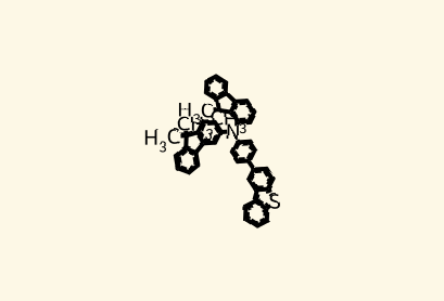 CC1(C)c2ccccc2-c2cc(N(c3ccc(-c4ccc5sc6ccccc6c5c4)cc3)c3cccc4c3C(C)(C)c3ccccc3-4)ccc21